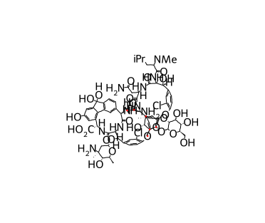 CN[C@H](CC(C)C)C(=O)N[C@H]1C(=O)N[C@@H](CC(N)=O)C(=O)N[C@H]2C(=O)N[C@H]3C(=O)N[C@H](C(=O)N[C@H](C(=O)O)c4cc(O)cc5c4-c4cc3ccc4C5(O)O)[C@H](O[C@H]3C[C@](C)(N)[C@@H](O)[C@H](C)O3)c3ccc(c(Cl)c3)Oc3cc2cc(c3O[C@@H]2O[C@H](CO)[C@@H](O)[C@H](O)[C@H]2O[C@H]2C[C@](C)(N)[C@@H](O)[C@H](C)O2)Oc2ccc(cc2Cl)[C@H]1O